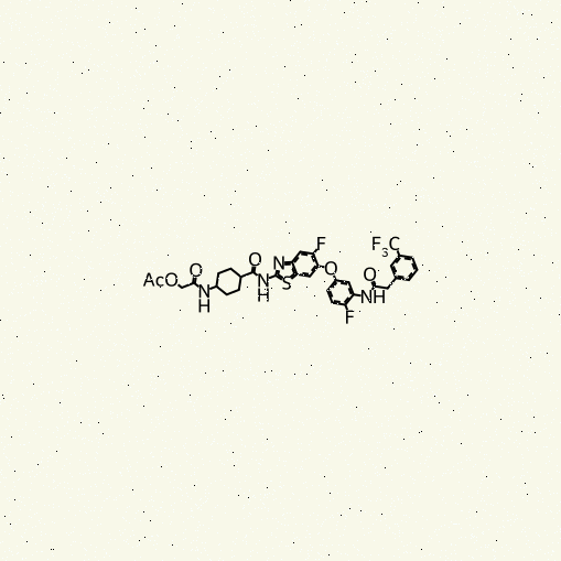 CC(=O)OCC(=O)NC1CCC(C(=O)Nc2nc3cc(F)c(Oc4ccc(F)c(NC(=O)Cc5cccc(C(F)(F)F)c5)c4)cc3s2)CC1